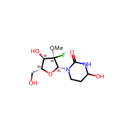 CO[C@@]1(F)[C@H](O)[C@@H](CO)O[C@H]1N1CCC(O)NC1=O